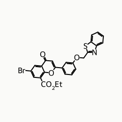 CCOC(=O)c1cc(Br)cc2c(=O)cc(-c3cccc(OCc4nc5ccccc5s4)c3)oc12